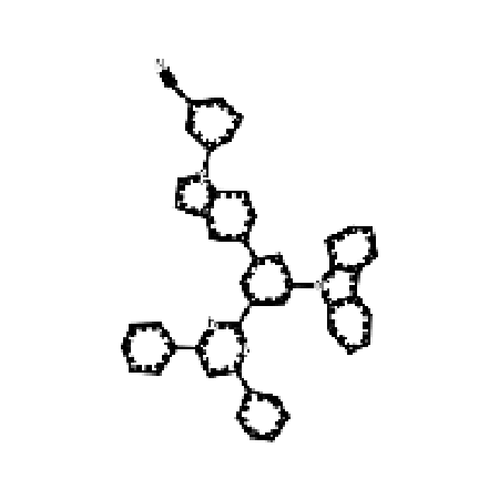 N#Cc1cccc(-n2ccc3cc(-c4cc(-c5nc(-c6ccccc6)cc(-c6ccccc6)n5)cc(-n5c6ccccc6c6ccccc65)c4)ccc32)c1